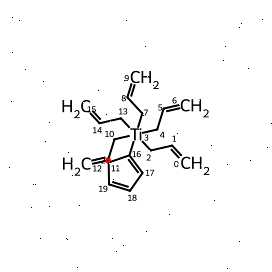 C=C[CH2][Ti]([CH2]C=C)([CH2]C=C)([CH2]C=C)([CH2]C=C)[C]1=CC=CC1